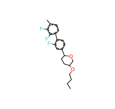 CCCCOC1CCC(c2ccc(-c3ccc(C)c(F)c3F)c(F)c2)OC1